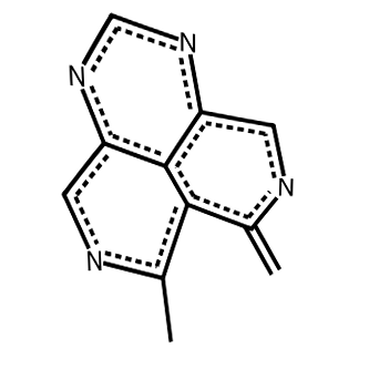 C=c1ncc2ncnc3cnc(C)c1c32